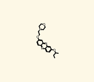 CCC(C)Oc1ccc2nc3ccc(OCCN4CCOCC4)cc3nc2c1